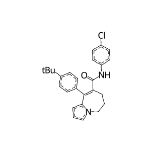 CC(C)(C)c1ccc(C2=C(C(=O)Nc3ccc(Cl)cc3)CCCn3cccc32)cc1